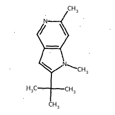 Cc1cc2c(cn1)cc(C(C)(C)C)n2C